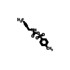 CC#CCNC(=O)OS(=O)(=O)c1ccc(C)cc1